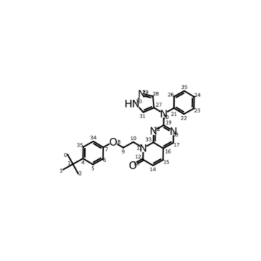 CC(C)(C)c1ccc(OCCn2c(=O)ccc3cnc(N(c4ccccc4)c4cn[nH]c4)nc32)cc1